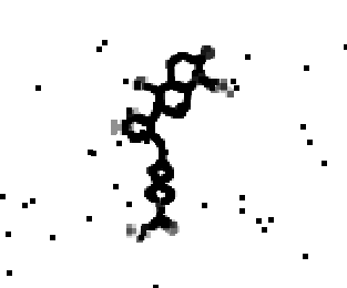 CC(=O)N1CC2(CC(Cc3c[nH]nc3-c3ccc4c(c3Cl)CCC(=O)N4C)C2)C1